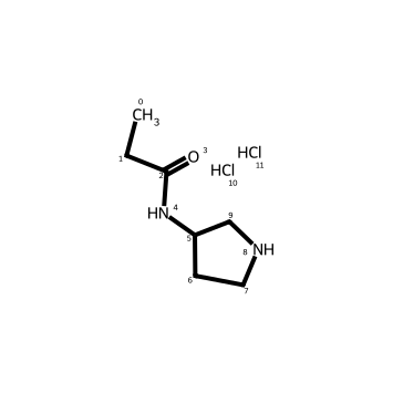 CCC(=O)NC1CCNC1.Cl.Cl